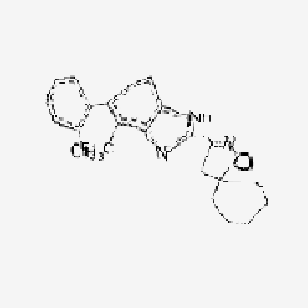 Cc1c(-c2ccccc2C(F)(F)F)ccc2[nH]c(C3=NOC4(CCCCC4)C3)nc12